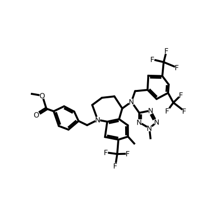 COC(=O)c1ccc(CN2CCCC(N(Cc3cc(C(F)(F)F)cc(C(F)(F)F)c3)c3nnn(C)n3)c3cc(C)c(C(F)(F)F)cc32)cc1